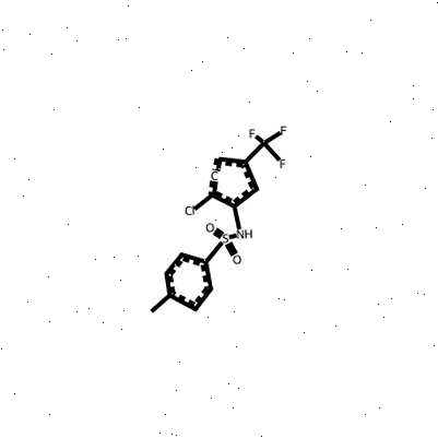 Cc1ccc(S(=O)(=O)Nc2cc(C(F)(F)F)ccc2Cl)cc1